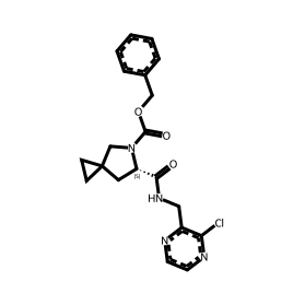 O=C(NCc1nccnc1Cl)[C@@H]1CC2(CC2)CN1C(=O)OCc1ccccc1